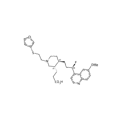 COc1ccc2nccc([C@H](F)CC[C@@H]3CCN(CCSc4ccoc4)C[C@H]3CCC(=O)O)c2c1